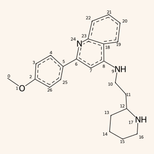 COc1ccc(-c2cc(NCCC3CCCCN3)c3ccccc3n2)cc1